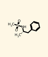 C[C@@H](Cc1ccccc1)NS(C)(=O)=O